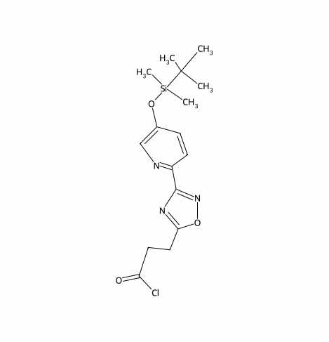 CC(C)(C)[Si](C)(C)Oc1ccc(-c2noc(CCC(=O)Cl)n2)nc1